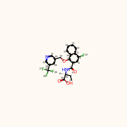 CC[C@](C)(NC(=O)c1cc(F)c2ccccc2c1OCc1cncc(C(F)(F)F)c1)C(=O)O